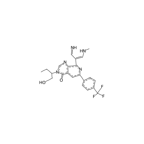 CCC(CO)n1cnc2c(/C(C=N)=C/NC)nc(-c3ccc(C(F)(F)F)cc3)cc2c1=O